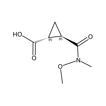 CON(C)C(=O)[C@@H]1C[C@H]1C(=O)O